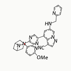 COc1ccc(CN2C3CC2CN(c2cnc(-c4cc(NCc5ccccn5)cn5ncc(C#N)c45)cn2)C3)cn1